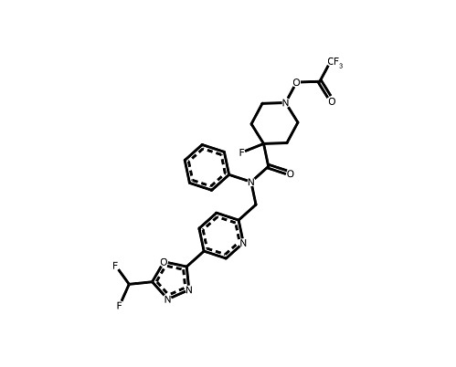 O=C(ON1CCC(F)(C(=O)N(Cc2ccc(-c3nnc(C(F)F)o3)cn2)c2ccccc2)CC1)C(F)(F)F